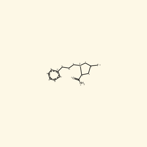 NC(=O)C1CC(F)CN1CCCc1ccccc1